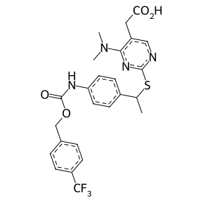 CC(Sc1ncc(CC(=O)O)c(N(C)C)n1)c1ccc(NC(=O)OCc2ccc(C(F)(F)F)cc2)cc1